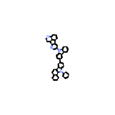 c1ccc(-n2c3ccc(-c4ccc5c(c4)c4ccccc4n5-c4cnc5c(c4)-c4cccc6nccc-5c46)cc3c3ccc4ccccc4c32)cc1